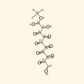 CC(C)(C)OC(=O)C(=O)C(=O)C(=O)C(=O)C(=O)C(=O)C(=O)C(=O)C=O